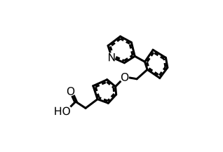 O=C(O)Cc1ccc(OCc2ccccc2-c2cccnc2)cc1